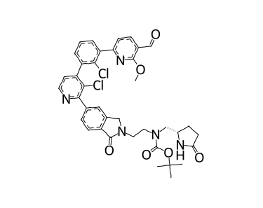 COc1nc(-c2cccc(-c3ccnc(-c4ccc5c(c4)CN(CCN(C[C@@H]4CCC(=O)N4)C(=O)OC(C)(C)C)C5=O)c3Cl)c2Cl)ccc1C=O